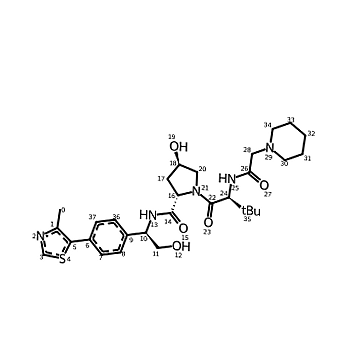 Cc1ncsc1-c1ccc([C@H](CO)NC(=O)[C@@H]2C[C@@H](O)CN2C(=O)[C@@H](NC(=O)CN2CCCCC2)C(C)(C)C)cc1